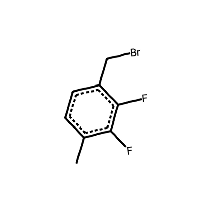 Cc1ccc(CBr)c(F)c1F